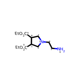 CCOC(=O)C1CN(CCN)CC1C(=O)OCC